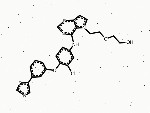 OCCOCCn1ccc2ncnc(Nc3ccc(Oc4cccc(-c5cncs5)c4)c(Cl)c3)c21